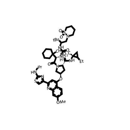 CCC1C[C@]1(NC(=O)[C@@H]1C[C@@H](Oc2cc(-c3csc(NC(C)C)n3)nc3cc(OC)ccc23)CN1C(=O)[C@@H](NC(=O)NC(CN1CCCCS1(=O)=O)C(C)(C)C)C1(C)CCCCC1)C(=O)O